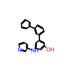 Oc1cc(Nc2cccnc2)cc(-c2cccc(-c3ccccc3)c2)c1